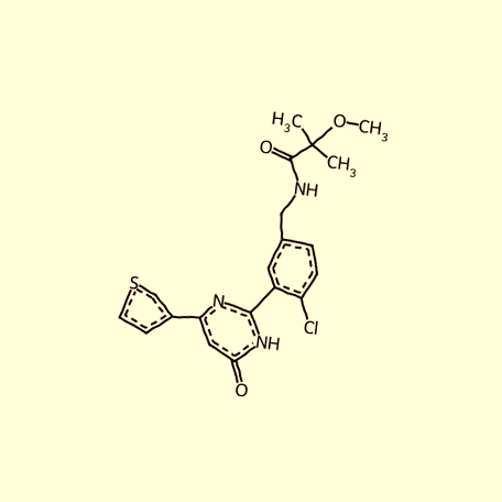 COC(C)(C)C(=O)NCc1ccc(Cl)c(-c2nc(-c3ccsc3)cc(=O)[nH]2)c1